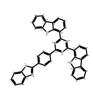 c1ccc2oc(-c3ccc(-c4nc(-c5cccc6c5oc5ccccc56)nc(-c5cccc6c5oc5ccccc56)n4)cc3)nc2c1